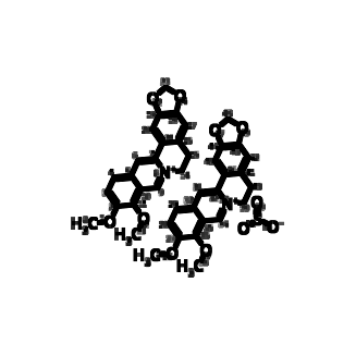 COc1ccc2cc3[n+](cc2c1OC)CCc1cc2c(cc1-3)OCO2.COc1ccc2cc3[n+](cc2c1OC)CCc1cc2c(cc1-3)OCO2.O=S([O-])[O-]